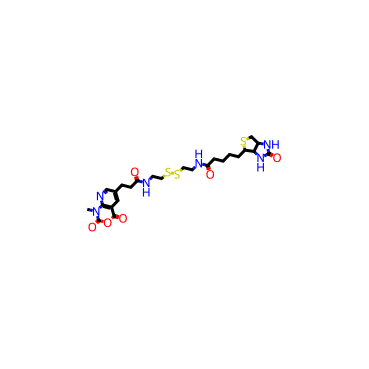 Cn1c(=O)oc(=O)c2cc(CCC(=O)NCCSSCCNC(=O)CCCCC3SCC4NC(=O)NC43)cnc21